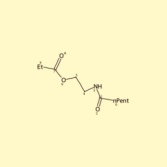 CCCCCC(=O)NCCOC(=O)CC